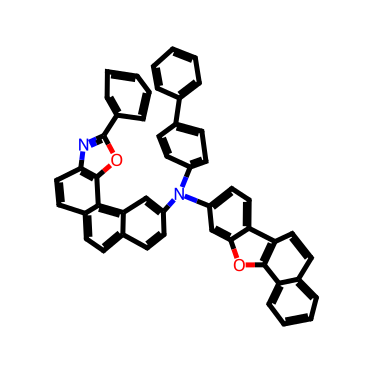 c1ccc(-c2ccc(N(c3ccc4c(c3)oc3c5ccccc5ccc43)c3ccc4ccc5ccc6nc(-c7ccccc7)oc6c5c4c3)cc2)cc1